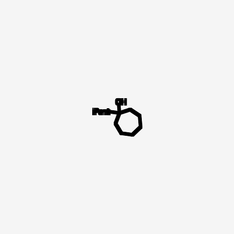 CCCC(C)C1(O)CCCCCC1